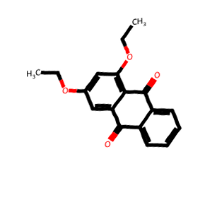 CCOc1cc(OCC)c2c(c1)C(=O)c1ccccc1C2=O